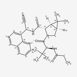 CCC(=O)N[C@H](C(=O)N1C[C@H]2[C@@H]([C@H]1C(=O)NC(C#N)c1cncc3cccnc13)C2(C)C)C(C)(C)C